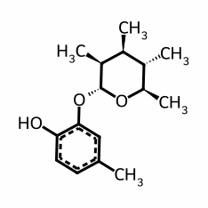 Cc1ccc(O)c(O[C@H]2O[C@H](C)[C@@H](C)[C@H](C)[C@@H]2C)c1